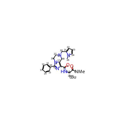 CNC(=O)[C@@H](NC(=O)c1nc(-c2ccccc2)n2c1CN(Cc1cccn1C)CC2)C(C)(C)C